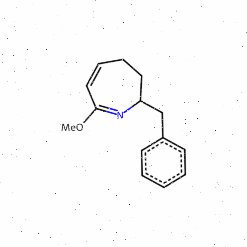 COC1=NC(Cc2ccccc2)CCC=C1